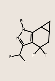 CCn1nc(C(F)F)c2c1C1CC1CC2(F)F